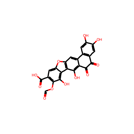 O=COc1c(C(=O)O)cc2oc3cc4c(c(O)c3c2c1O)C(=O)C(=O)c1cc(O)c(O)cc1-4